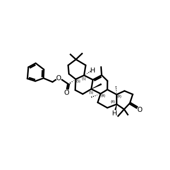 CC1=C2[C@@H]3CC(C)(C)CC[C@]3(C(=O)OCc3ccccc3)CC[C@@]2(C)[C@]2(C)CC[C@H]3C(C)(C)C(=O)CC[C@]3(C)C2C1